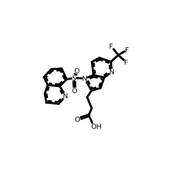 O=C(O)CCc1cc2nc(C(F)(F)F)ccc2n1S(=O)(=O)c1cccc2cccnc12